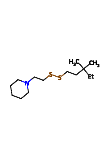 CCC(C)(C)CCSSCCN1CCCCC1